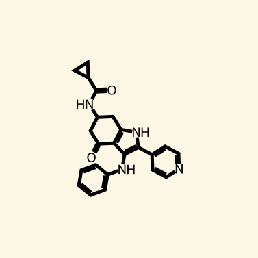 O=C1CC(NC(=O)C2CC2)Cc2[nH]c(-c3ccncc3)c(Nc3ccccc3)c21